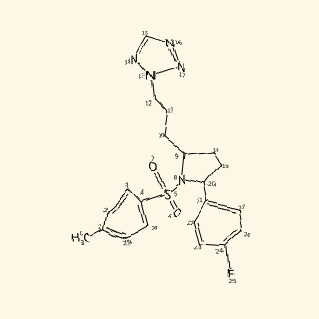 Cc1ccc(S(=O)(=O)N2C(CCCn3ncnn3)CCC2c2ccc(F)cc2)cc1